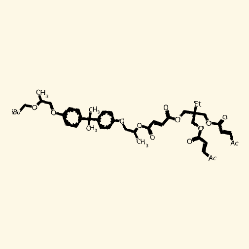 CCC(C)COC(C)COc1ccc(C(C)(C)c2ccc(OCC(C)OC(=O)/C=C/C(=O)OCC(CC)(COC(=O)/C=C/C(C)=O)COC(=O)/C=C/C(C)=O)cc2)cc1